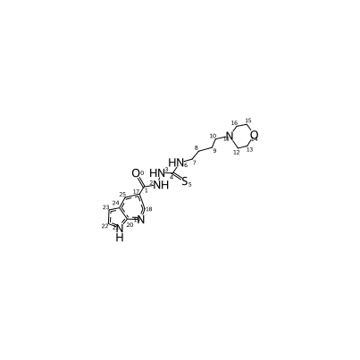 O=C(NNC(=S)NCCCCN1CCOCC1)c1cnc2[nH]ccc2c1